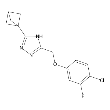 Fc1cc(OCc2nnc(C34CC(C3)C4)[nH]2)ccc1Cl